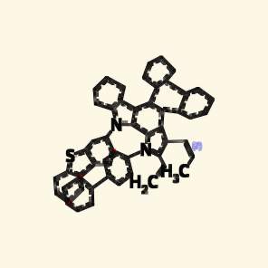 C=Cc1c(/C=C\C)c2c3c4ccccc4c4ccccc4c3c3c4ccccc4n(-c4ccc5c(c4)sc4ccccc45)c3c2n1-c1ccc(-c2ccccc2)cc1